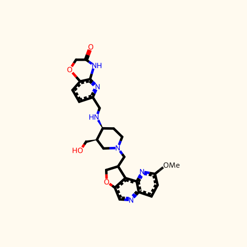 COc1ccc2ncc3c(c2n1)C(CN1CC[C@H](NCc2ccc4c(n2)NC(=O)CO4)[C@H](CO)C1)CO3